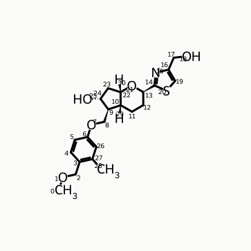 COCc1ccc(OC[C@@H]2[C@H]3CC[C@H](c4nc(CO)cs4)O[C@H]3C[C@H]2O)cc1C